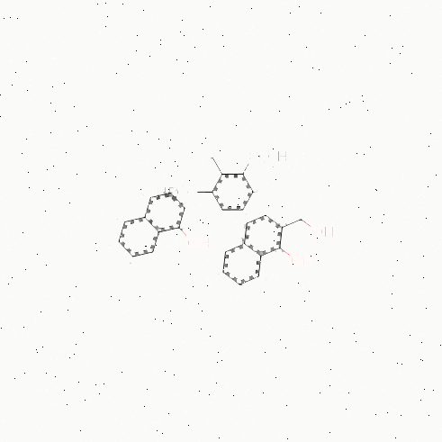 Cc1c(C(=O)O)cccc1C(=O)O.OCc1ccc2ccccc2c1O.Oc1cccc2ccccc12